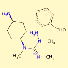 C/N=C(\N(C)N)N(C)[C@H]1CC[C@@H](N)CC1.O=Cc1ccccc1